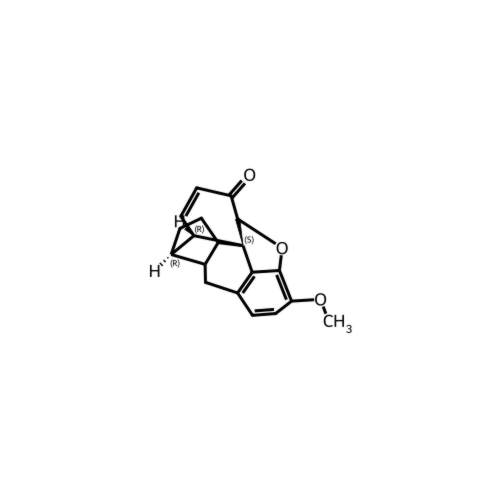 COc1ccc2c3c1OC1C(=O)C=C[C@H]4[C@@H]5CCC(C5C2)[C@]314